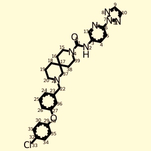 O=C(Nc1ccc(-n2nccn2)nc1)N1CCC2(CCCN(Cc3cccc(Oc4ccc(Cl)cc4)c3)C2)CC1